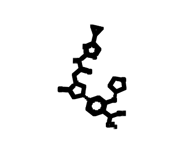 CC(O)c1ccc([C@@H]2CC(=O)N(CC(=O)Nc3nc(C4CC4)cs3)C2)cc1O[C@@H]1CCOC1